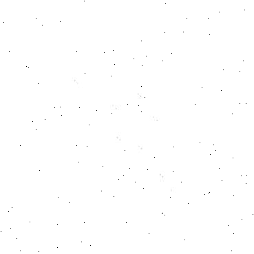 Cc1ccnc(C(C)C)c1-n1c(=O)nc(N2CCN(C(=O)O)CC2C)c2nc(Cl)c(-c3ccccc3F)nc21